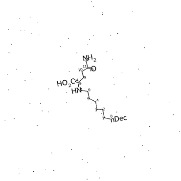 CCCCCCCCCCCCCCCCNC(CCC(N)=O)C(=O)O